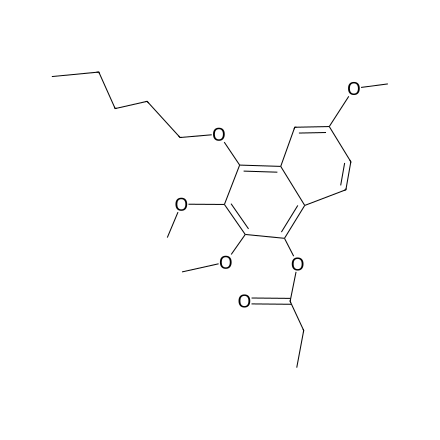 CCCCCOc1c(OC)c(OC)c(OC(=O)CC)c2ccc(OC)cc12